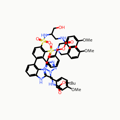 COc1ccc(CN(Cc2ccc(OC)cc2)S(=O)(=O)c2c(S(=O)(=O)NC(CO)CNC(=O)OCc3ccccc3)ccc(-c3cccc4[nH]c(CNC(=O)OC(C)(C)C)nc34)c2-c2nnn(Cc3ccc(OC)cc3)n2)cc1